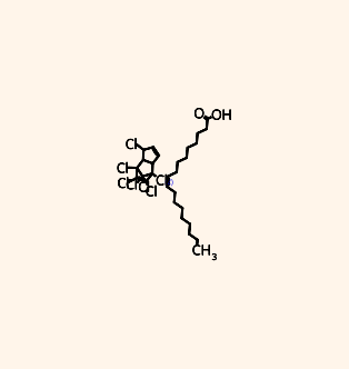 CCCCCCCC/C=C\CCCCCCCC(=O)O.ClC1=C(Cl)C2(Cl)C3C(Cl)C=CC3C1(Cl)C2(Cl)Cl